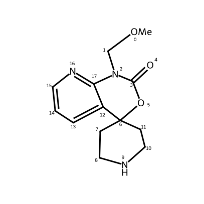 COCN1C(=O)OC2(CCNCC2)c2cccnc21